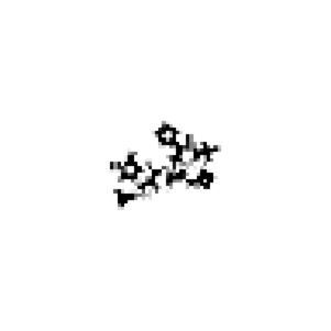 CC(C)(C)C(=O)N[C@@H](C(=O)N[C@@H](CC12CC(C1)C2)C(=O)N[C@@H](C[C@@H]1CCNC1=O)C(=O)C(=O)NC1CC1)C1CCCC1